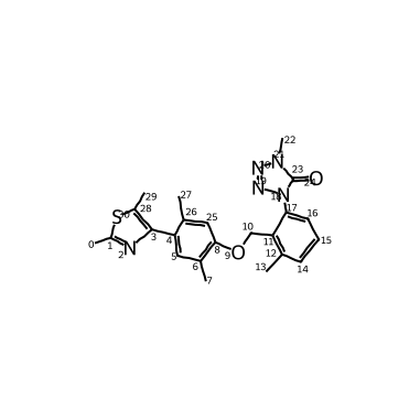 Cc1nc(-c2cc(C)c(OCc3c(C)cccc3-n3nnn(C)c3=O)cc2C)c(C)s1